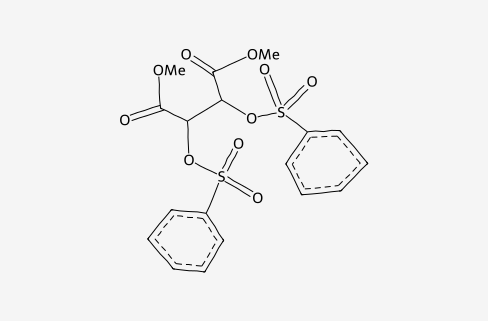 COC(=O)C(OS(=O)(=O)c1ccccc1)C(OS(=O)(=O)c1ccccc1)C(=O)OC